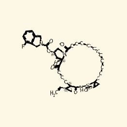 C=C[C@@H]1C[C@@]12CCCC(=O)[C@@H]1C[C@@H](OC(=O)N3Cc4cccc(F)c4C3)CN1C(=O)CCCCCCCCCCCC1(CC1)S(=O)(=O)NC2=O